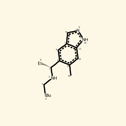 CC[C@@H](NCC(C)(C)C)c1cc2cn[nH]c2cc1C